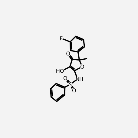 CC1(c2cccc(F)c2)OC(NS(=O)(=O)c2ccccc2)=C(O)C1=O